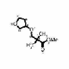 COC(=O)C(C)(C)COC1CCOC1